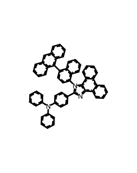 c1ccc(N(c2ccccc2)c2ccc(-c3nc4c5ccccc5c5ccccc5c4n3-c3ccc(-c4c5ccccc5cc5ccccc45)c4ccccc34)cc2)cc1